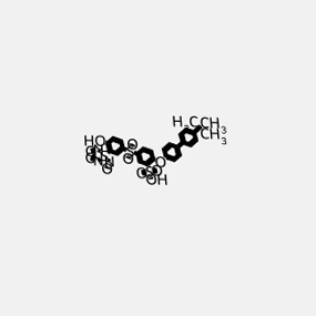 CC(C)(C)c1ccc(-c2ccc(Oc3ccc(S(=O)(=O)c4ccc(O)c(S(N=O)(N=O)N=O)c4)cc3S(=O)(=O)O)cc2)cc1